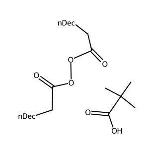 CC(C)(C)C(=O)O.CCCCCCCCCCCC(=O)OOC(=O)CCCCCCCCCCC